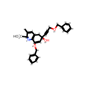 Cc1cc2c(nc1C(=O)O)C(OCc1ccccc1)=CC(O)(C#CCOCc1ccccc1)C2